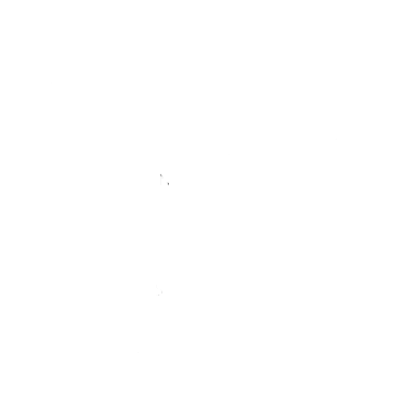 c1ccc2cc(-c3ccc(-c4ccc(N(c5ccc(-c6ccc7ccccc7c6)cc5)c5ccc(-c6cc7ccccc7s6)cc5)cc4)cc3)ccc2c1